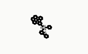 c1ccc(-c2nc(-c3ccc4c(c3)-c3ccccc3C43c4cccc5ccc6cccc3c6c45)nc(-c3cccc4c3sc3ccccc34)n2)cc1